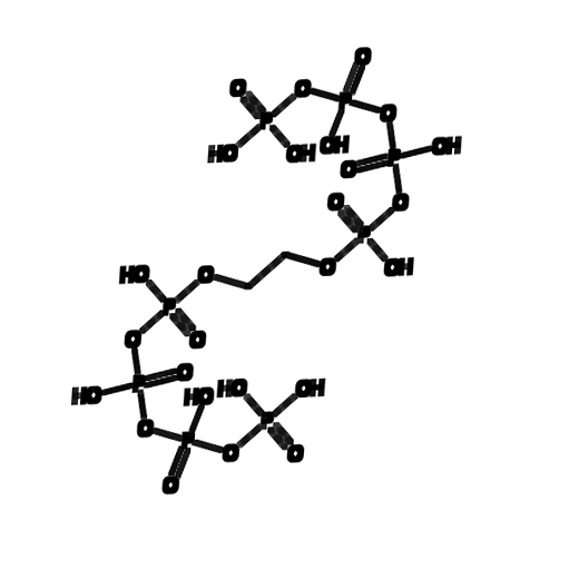 O=P(O)(O)OP(=O)(O)OP(=O)(O)OP(=O)(O)OCCOP(=O)(O)OP(=O)(O)OP(=O)(O)OP(=O)(O)O